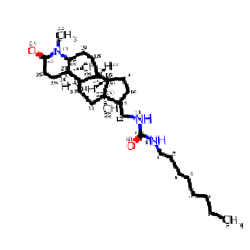 CCCCCCCCNC(=O)NCC1CC[C@H]2[C@@H]3CCC4N(C)C(=O)CC[C@]4(C)[C@@H]3CC[C@]12C